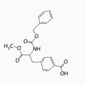 COC(=O)C(Cc1ccc(C(=O)O)cc1)NC(=O)OCc1ccccc1